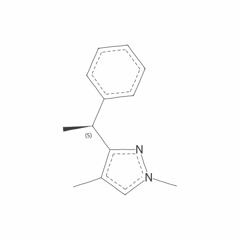 Cc1cn(C)nc1[C@@H](C)c1ccccc1